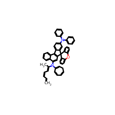 C=C/C=C\C=C(/C)N(C1=CCC=CC=C1)c1cc2c(c3ccccc13)-c1ccc(N(c3ccccc3)c3ccccc3)cc1C21c2ccccc2Oc2ccccc21